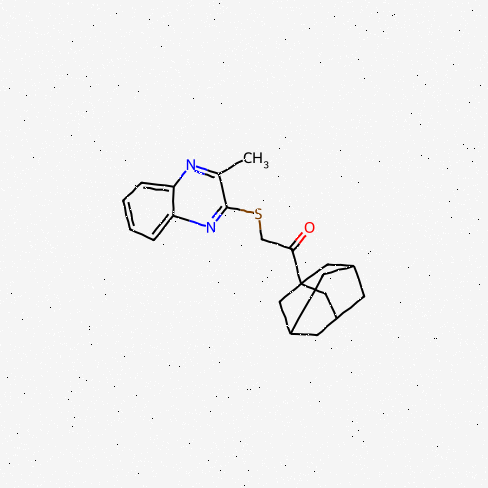 Cc1nc2ccccc2nc1SCC(=O)C12CC3CC(CC(C3)C1)C2